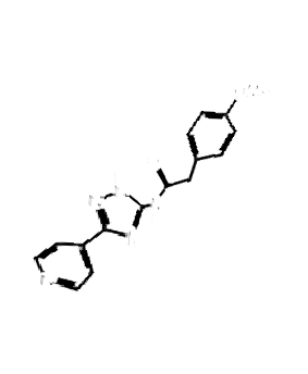 COc1ccc(CC(=O)Nc2nc(-c3ccncc3)n[nH]2)cc1